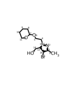 Cc1nn(CCOC2CCCCO2)c(CO)c1Br